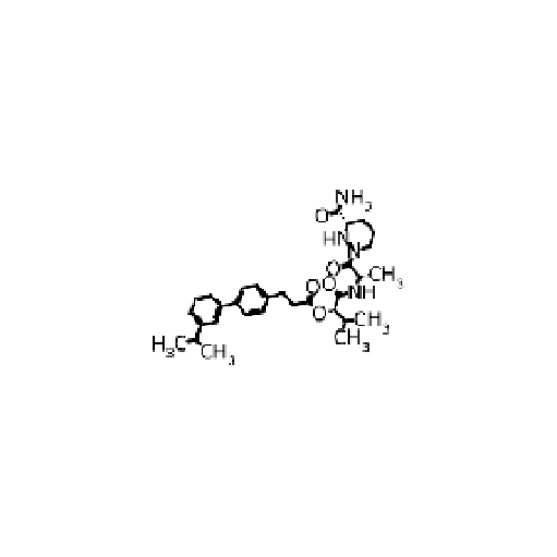 CC(C)c1cccc(-c2ccc(CCC(=O)O[C@H](C(=O)N[C@@H](C)C(=O)N3CCC[C@@H](C(N)=O)N3)C(C)C)cc2)c1